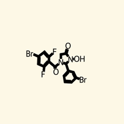 O=C1CN(C(=O)c2c(F)cc(Br)cc2F)C(c2cccc(Br)c2)N1O